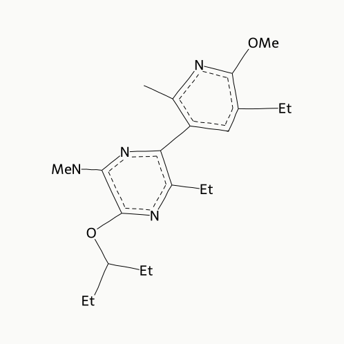 CCc1cc(-c2nc(NC)c(OC(CC)CC)nc2CC)c(C)nc1OC